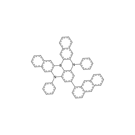 c1ccc(N2c3cc4ccccc4cc3B3c4cc5ccccc5cc4N(c4ccccc4)c4cc(-c5cccc6cc7ccccc7cc56)cc2c43)cc1